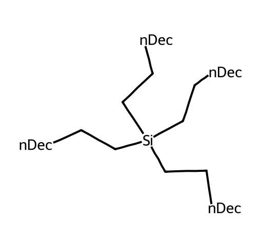 CCCCCCCCCCCC[Si](CCCCCCCCCCCC)(CCCCCCCCCCCC)CCCCCCCCCCCC